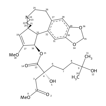 COC(=O)C[C@](O)(CCCC(C)(C)O)C(=O)O[C@H]1C(OC)=C[C@]23CCCN2CCc2cc4c(cc2C13)OCO4